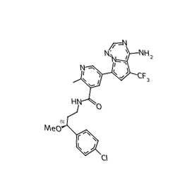 CO[C@@H](CCNC(=O)c1cc(-c2cc(C(F)(F)F)c3c(N)ncnn23)cnc1C)c1ccc(Cl)cc1